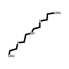 CSCCSCCNCCSCCSC